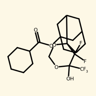 O=C(OC12CC3CC(C1)C1(OCOC(O)(C(F)(F)F)C1(F)F)C(C3)C2)C1CCCCC1